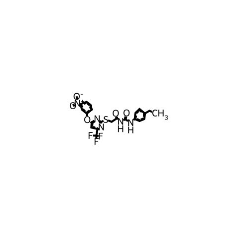 CCc1ccc(NC(=O)NC(=O)CSc2nc(Oc3cccc([N+](=O)[O-])c3)cc(C(F)(F)F)n2)cc1